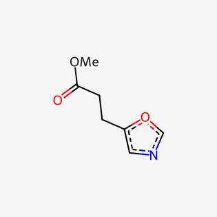 COC(=O)CCc1cnco1